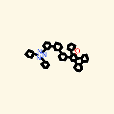 c1ccc(-c2nc(-c3ccccc3)nc(-c3cccc(-c4cccc(-c5cccc(-c6cc7c8ccccc8c8ccccc8c7c7oc8ccccc8c67)c5)c4)c3)n2)cc1